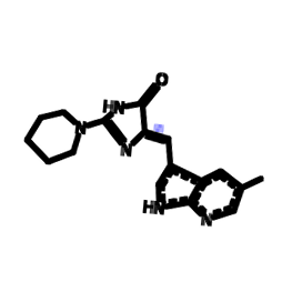 Cc1cnc2[nH]cc(/C=C3\N=C(N4CCCCC4)NC3=O)c2c1